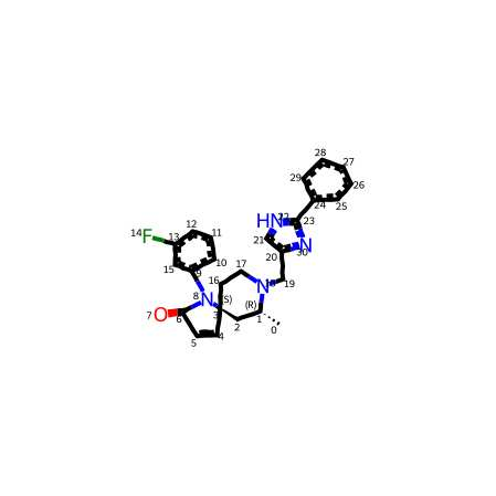 C[C@@H]1C[C@]2(C=CC(=O)N2c2cccc(F)c2)CCN1Cc1c[nH]c(-c2ccccc2)n1